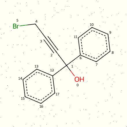 OC(C#CCBr)(c1ccccc1)c1ccccc1